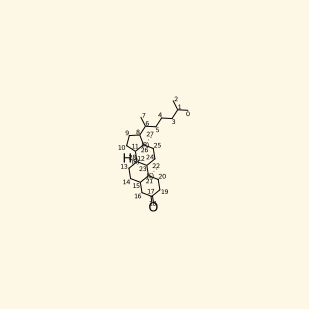 CC(C)CCCC(C)C1CCC2[C@@H]3CCC4CC(=O)CC[C@]4(C)C3CC[C@]12C